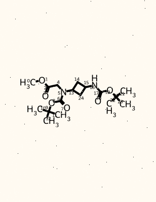 COC(=O)CN(C(=O)OC(C)(C)C)C1CC(NC(=O)OC(C)(C)C)C1